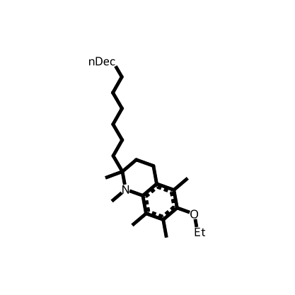 CCCCCCCCCCCCCCCCC1(C)CCc2c(C)c(OCC)c(C)c(C)c2N1C